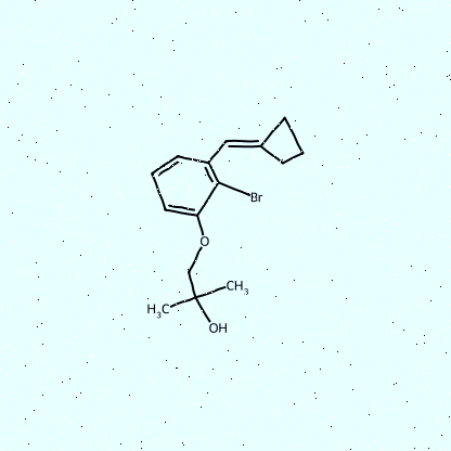 CC(C)(O)COc1cccc(C=C2CCC2)c1Br